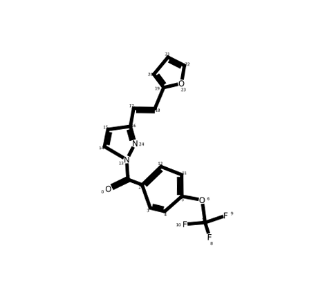 O=C(c1ccc(OC(F)(F)F)cc1)n1ccc(C=Cc2ccco2)n1